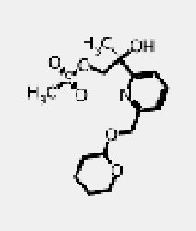 C[C@@](O)(COS(C)(=O)=O)c1cccc(COC2CCCCO2)n1